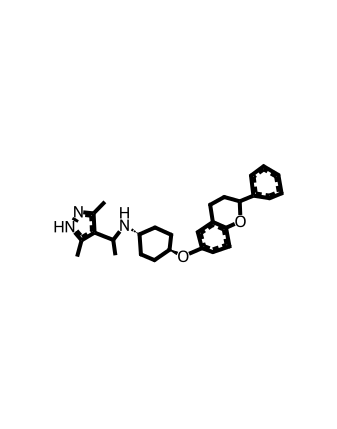 Cc1n[nH]c(C)c1C(C)N[C@H]1CC[C@H](Oc2ccc3c(c2)CCC(c2ccccc2)O3)CC1